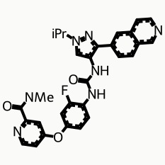 CNC(=O)c1cc(Oc2ccc(NC(=O)Nc3cn(C(C)C)nc3-c3ccc4cnccc4c3)c(F)c2)ccn1